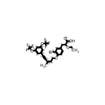 CCOC(Cc1ccc(OCC=C(C)C#Cc2cc(OC(F)(F)F)cc(OC(F)(F)F)c2)c(Br)c1)C(=O)O